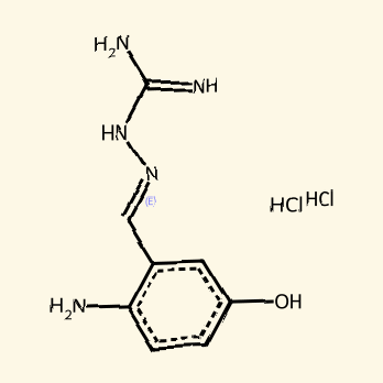 Cl.Cl.N=C(N)N/N=C/c1cc(O)ccc1N